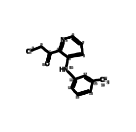 O=C(CCl)c1ncccc1Nc1cccc(C(F)(F)F)c1